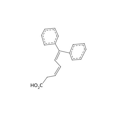 O=C(O)C/C=C\C=C(c1ccccc1)c1ccccc1